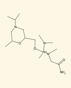 CC1CN(C(C)C)CC(CO[PH](C)(N(C)C)N(C)CC(N)=O)O1